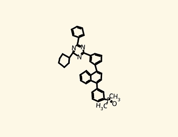 CP(C)(=O)c1cccc(-c2ccc(-c3cccc(-c4nc(-c5ccccc5)nc(C5CCCCC5)n4)c3)c3ccccc23)c1